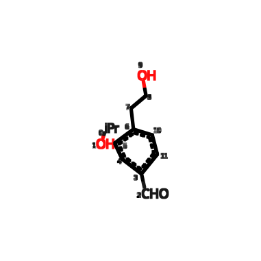 CC(C)O.O=Cc1ccc(CCO)cc1